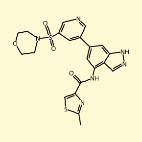 Cc1nc(C(=O)Nc2cc(-c3cncc(S(=O)(=O)N4CCOCC4)c3)cc3[nH]ncc23)cs1